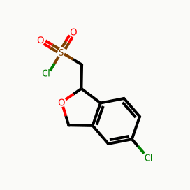 O=S(=O)(Cl)CC1OCc2cc(Cl)ccc21